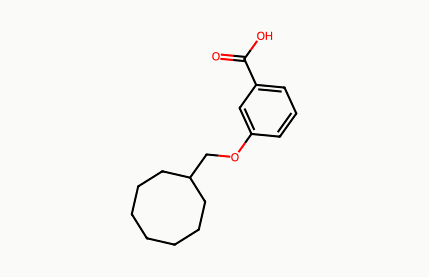 O=C(O)c1cccc(OCC2CCCCCCC2)c1